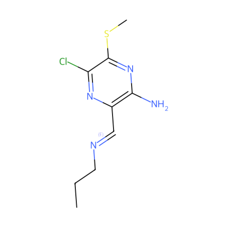 CCC/N=C/c1nc(Cl)c(SC)nc1N